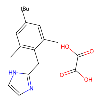 Cc1cc(C(C)(C)C)cc(C)c1Cc1ncc[nH]1.O=C(O)C(=O)O